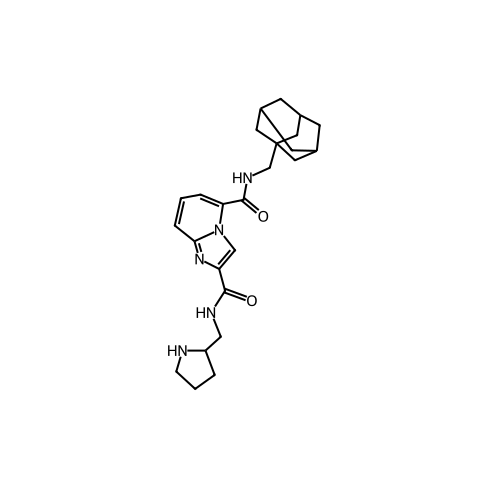 O=C(NCC1CCCN1)c1cn2c(C(=O)NCC34CC5CC(CC(C5)C3)C4)cccc2n1